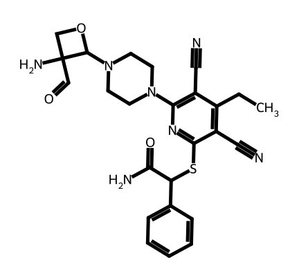 CCc1c(C#N)c(SC(C(N)=O)c2ccccc2)nc(N2CCN(C3OCC3(N)C=O)CC2)c1C#N